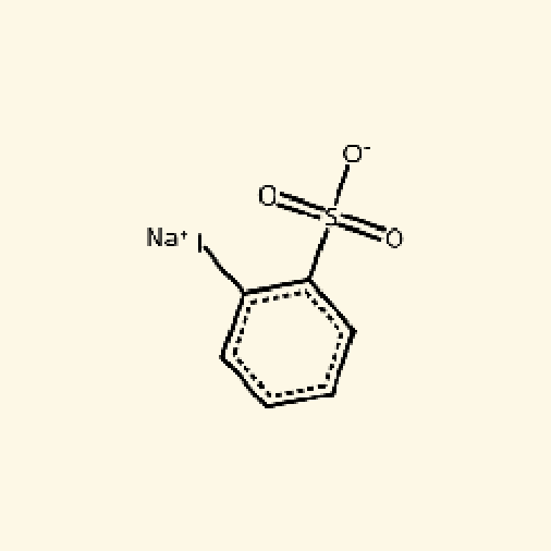 O=S(=O)([O-])c1ccccc1I.[Na+]